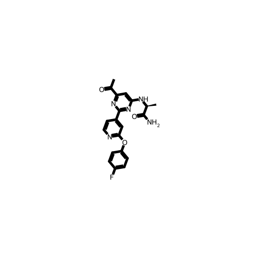 CC(=O)c1cc(N[C@@H](C)C(N)=O)nc(-c2ccnc(Oc3ccc(F)cc3)c2)n1